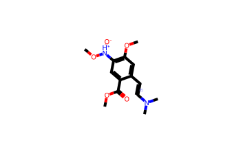 COC(=O)c1cc([NH+]([O-])OC)c(OC)cc1/C=C/N(C)C